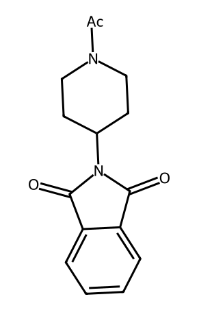 CC(=O)N1CCC(N2C(=O)c3ccccc3C2=O)CC1